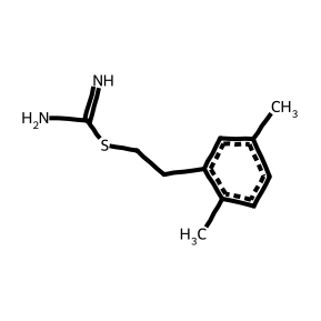 Cc1ccc(C)c(CCSC(=N)N)c1